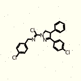 Cl/C(=N\Cc1ccc(Cl)cc1)N1CC(c2ccccc2)C(c2ccc(Cl)cc2)=N1